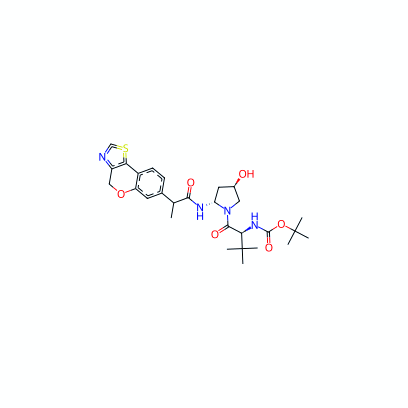 CC(C(=O)N[C@@H]1C[C@@H](O)CN1C(=O)[C@@H](NC(=O)OC(C)(C)C)C(C)(C)C)c1ccc2c(c1)OCc1ncsc1-2